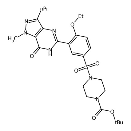 CCCc1nn(C)c2c(=O)[nH]c(-c3cc(S(=O)(=O)N4CCN(C(=O)OC(C)(C)C)CC4)ccc3OCC)nc12